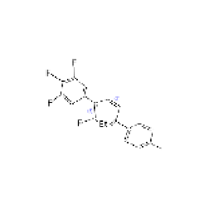 C=C(/C=C\C(=C(\F)CC)c1cc(F)c(F)c(F)c1)c1ccc(C)cc1